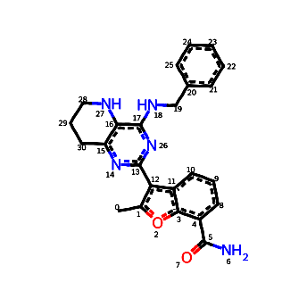 Cc1oc2c(C(N)=O)cccc2c1-c1nc2c(c(NCc3ccccc3)n1)NCCC2